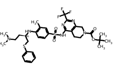 Cc1cc(S(=O)(=O)Nc2nc(C(F)(F)F)nc3c2CCN(C(=O)OC(C)(C)C)C3)ccc1N[C@H](CCN(C)C)CSc1ccccc1